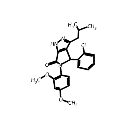 COc1ccc(N2C(=O)c3[nH]nc(CC(C)C)c3C2c2ccccc2Cl)c(OC)c1